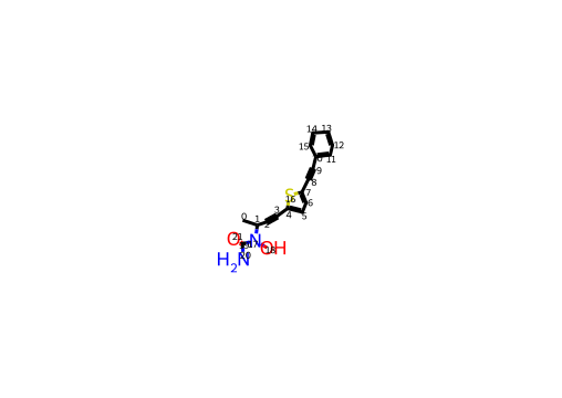 CC(C#Cc1ccc(C#Cc2ccccc2)s1)N(O)C(N)=O